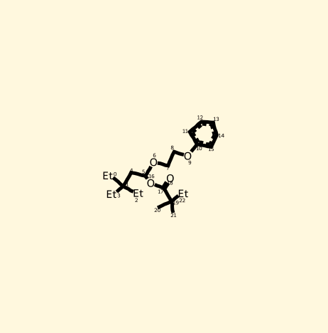 CCC(CC)(CC)CC(OCCOc1ccccc1)OC(=O)C(C)(C)CC